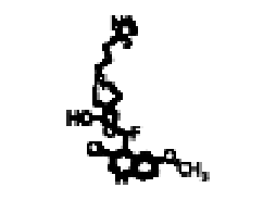 COc1ccc2ncc(Cl)c(C(F)CCC3(C(=O)O)CCN(CCCc4nccs4)CC3)c2c1